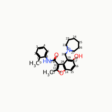 Cc1ccccc1NC(=O)c1c(C)oc2ccc(O)c(CN3CCCCCC3)c12